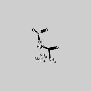 N.NC(N)=O.O=[N+]([O-])O.[MgH2]